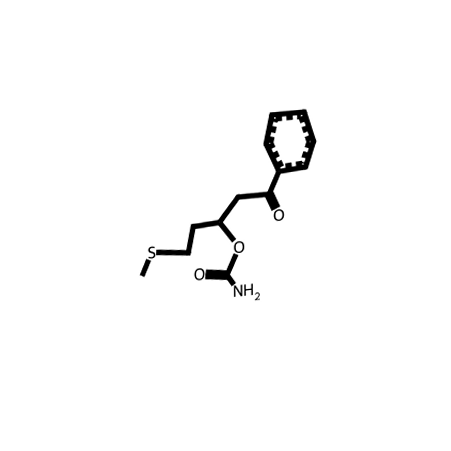 CSCCC(CC(=O)c1ccccc1)OC(N)=O